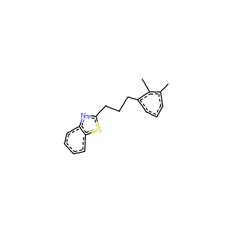 Cc1cccc(CCCc2nc3ccccc3s2)c1C